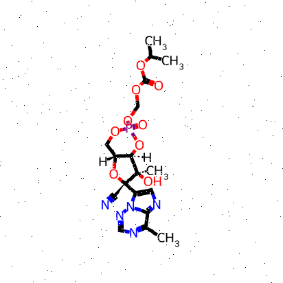 Cc1ncnn2c([C@]3(C#N)O[C@@H]4COP(=O)(OCOC(=O)OC(C)C)O[C@H]4[C@@]3(C)O)cnc12